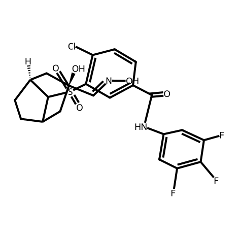 O=C(Nc1cc(F)c(F)c(F)c1)c1ccc(Cl)c(S(=O)(=O)C2C3CC[C@H]2C[C@](O)(/C=N/O)C3)c1